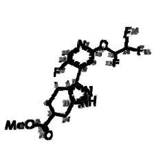 COC(=O)C1CCc2c(-c3cc(OC(F)C(F)F)ncc3F)n[nH]c2C1